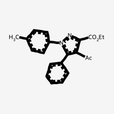 CCOC(=O)c1nn(-c2ccc(C)cc2)c(-c2ccccc2)c1C(C)=O